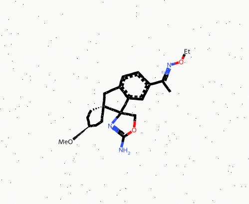 CCO/N=C(\C)c1ccc2c(c1)C1(COC(N)=N1)[C@]1(CC[C@H](OC)CC1)C2